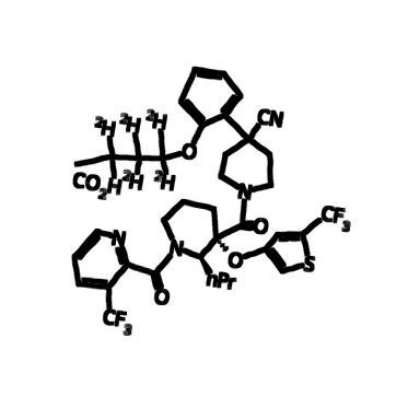 [2H]C([2H])(Oc1ccccc1C1(C#N)CCN(C(=O)[C@]2(Oc3csc(C(F)(F)F)c3)CCCN(C(=O)c3ncccc3C(F)(F)F)[C@@H]2CCC)CC1)C([2H])([2H])C([2H])(C)C(=O)O